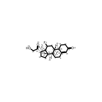 C[C@]12C(F)C[C@H]3[C@@H](CCC4=CC(=O)CC[C@@]43C)[C@@H]1CC[C@@H]2C(=O)CO